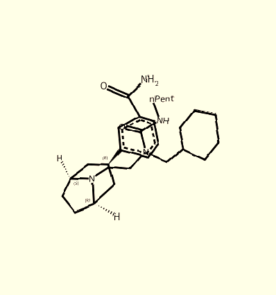 CCCCCNC(=O)N(CCN1[C@@H]2CC[C@H]1C[C@@H](c1cccc(C(N)=O)c1)C2)CC1CCCCC1